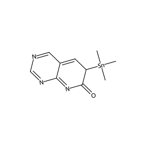 [CH3][Sn]([CH3])([CH3])[CH]1C=c2cncnc2=NC1=O